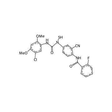 COc1cc(OC)c(NC(=O)N(S)c2ccc(NC(=O)c3ccccc3F)c(C#N)c2)cc1Cl